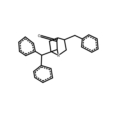 O=C1C2CCN(CC2Cc2ccccc2)C1C(c1ccccc1)c1ccccc1